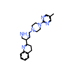 Cc1cnc(N2CCN(CCC(CN)C3=Nc4ccccc4CC3)CC2)nc1